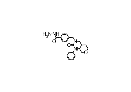 NNC(=O)c1ccc(CN(CC2CCOCC2)C(=O)Nc2ccccc2)cc1